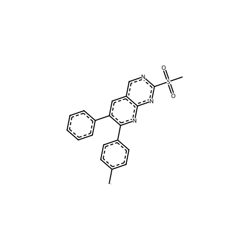 [CH2]c1ccc(-c2nc3nc(S(C)(=O)=O)ncc3cc2-c2ccccc2)cc1